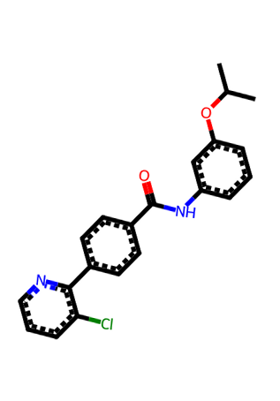 CC(C)Oc1cccc(NC(=O)c2ccc(-c3ncccc3Cl)cc2)c1